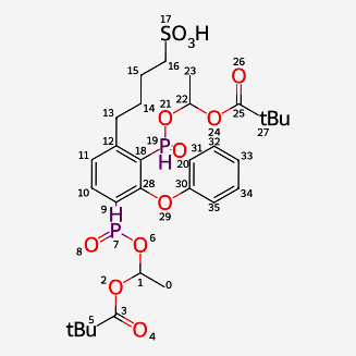 CC(OC(=O)C(C)(C)C)O[PH](=O)c1ccc(CCCCS(=O)(=O)O)c([PH](=O)OC(C)OC(=O)C(C)(C)C)c1Oc1ccccc1